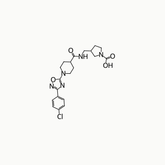 O=C(NCC1CCN(C(=O)O)C1)C1CCN(c2nc(-c3ccc(Cl)cc3)no2)CC1